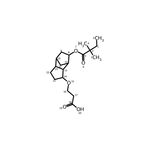 CCC(C)(C)C(=O)OC1CC2CC1C1C(OCCC(=O)O)CCC21